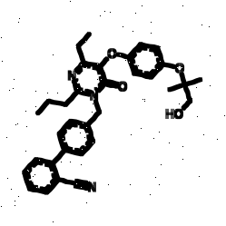 CCCc1nc(CC)c(Oc2ccc(OC(C)(C)CO)cc2)c(=O)n1Cc1ccc(-c2ccccc2C#N)cc1